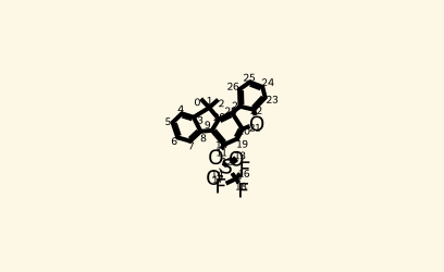 CC1(C)c2ccccc2-c2c(OS(=O)(=O)C(F)(F)F)cc3oc4ccccc4c3c21